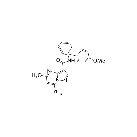 COc1ccc(C2(NC(=O)c3cnn4c(C)cc(C)nc34)C=CC=CC2)cc1